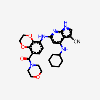 N#Cc1c[nH]c2nc(Nc3ccc(C(=O)N4CCOCC4)c4c3OCCO4)cc(NC3CCCCC3)c12